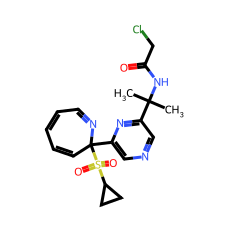 CC(C)(NC(=O)CCl)c1cncc(C2(S(=O)(=O)C3CC3)C=CC=CC=N2)n1